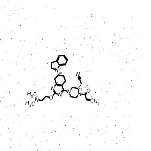 C=CC(=O)N1CCN(c2nc(OCCN(C)C)nc3c2CC[C@@H](N2CCc4ccccc42)C3)C[C@@H]1CC#N